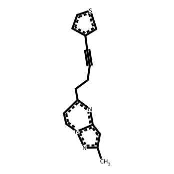 Cc1cc2nc(CCC#Cc3ccsc3)ccn2n1